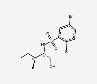 CC[C@H](C)[C@@H](CO)NS(=O)(=O)c1cc(Br)ccc1Br